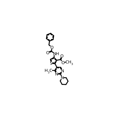 COC(=O)c1c(NC(=O)OCc2ccccc2)csc1-c1cnc(N2CCCCC2)nc1C